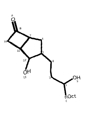 CCCCCCCCC(O)CCC1CC2C(=O)CC2C1O